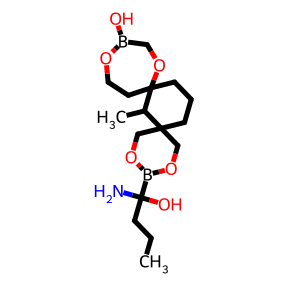 CCCC(N)(O)B1OCC2(CCCC3(CCOB(O)CO3)C2C)CO1